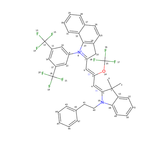 CC1(C)/C(=C\C(=C\C2=[N+](c3cc(C(F)(F)F)cc(C(F)(F)F)c3)c3c(ccc4ccccc34)C2)OC(F)(F)F)N(CCc2ccccc2)c2ccccc21